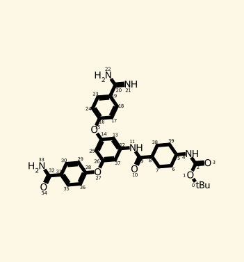 CC(C)(C)OC(=O)NC1CCC(C(=O)Nc2cc(Oc3ccc(C(=N)N)cc3)cc(Oc3ccc(C(N)=O)cc3)c2)CC1